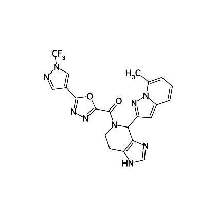 Cc1cccc2cc(C3c4nc[nH]c4CCN3C(=O)c3nnc(-c4cnn(C(F)(F)F)c4)o3)nn12